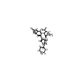 CC(Oc1cc(-c2cnn(C3CCOCC3)c2)cc2nn(C)cc12)[C@H]1CNC(=O)C1